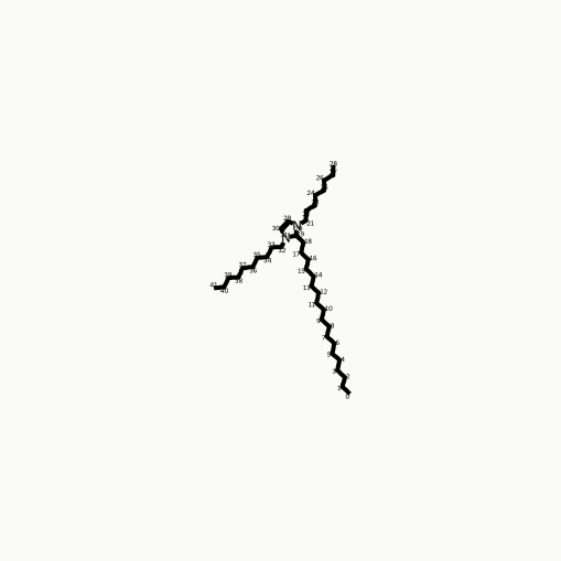 CCCCCCCCCCCCCCCCCCCC1N(CCCCCCCC)C=CN1CCCCCCCCCC